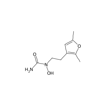 Cc1cc(CCN(O)C(N)=O)c(C)o1